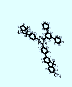 CC1(c2ccc(-c3nc(-c4ccc(-c5ccc6c(c5)C(C)(C)c5cc(C#N)ccc5-6)cc4)nc(-c4cc(-c5ccccc5)cc(-c5ccccc5)c4)n3)cc2)C[C@@H]2CC[C@@H](C2)C1